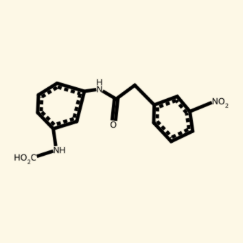 O=C(O)Nc1cccc(NC(=O)Cc2cccc([N+](=O)[O-])c2)c1